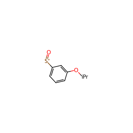 CC(C)Oc1cccc([S+]=O)c1